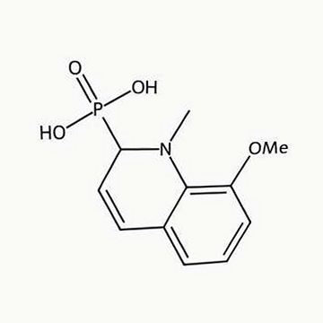 COc1cccc2c1N(C)C(P(=O)(O)O)C=C2